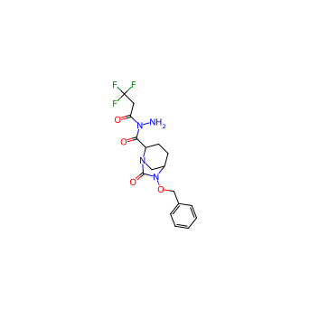 NN(C(=O)CC(F)(F)F)C(=O)C1CCC2CN1C(=O)N2OCc1ccccc1